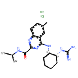 CCCC(CCC)NC(=O)c1nc(N[C@H]2CCCC[C@H]2NC(=N)N)c2cc(C)ccc2n1.Cl.Cl